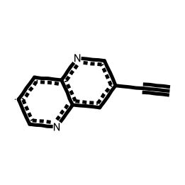 C#Cc1cnc2c[c]cnc2c1